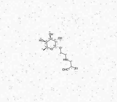 CCC(C=O)CNCCO[C@@H]1O[C@@H](C)[C@@H](O)[C@@H](O)[C@@H]1O